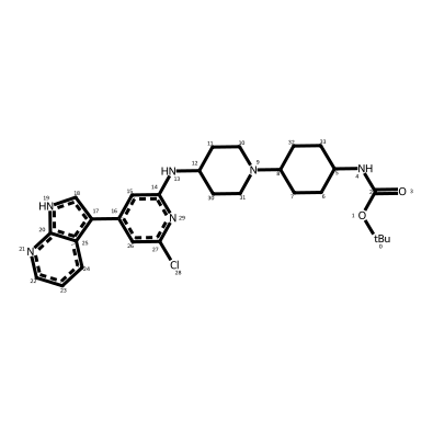 CC(C)(C)OC(=O)NC1CCC(N2CCC(Nc3cc(-c4c[nH]c5ncccc45)cc(Cl)n3)CC2)CC1